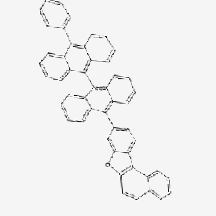 c1ccc(-c2c3ccccc3c(-c3c4ccccc4c(-c4ccc5c(c4)oc4ccc6ccccc6c45)c4ccccc34)c3ccccc23)cc1